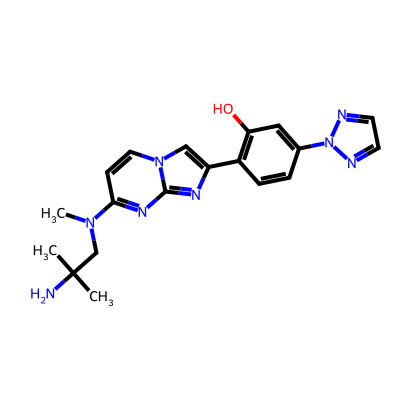 CN(CC(C)(C)N)c1ccn2cc(-c3ccc(-n4nccn4)cc3O)nc2n1